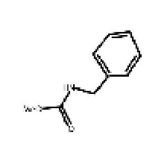 [CH2]OC(=O)NCc1ccccc1